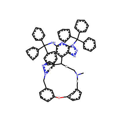 CN1CCC(c2cc(NC(c3ccccc3)(c3ccccc3)c3ccccc3)nc3c2nnn3C(c2ccccc2)(c2ccccc2)c2ccccc2)c2cnn(c2)Cc2cccc(c2)Oc2cccc(c2)C1